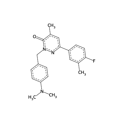 Cc1cc(-c2cc(C)c(=O)n(Cc3ccc(N(C)C)cc3)n2)ccc1F